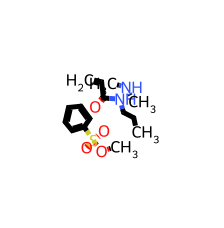 C=CC(=O)NCCC.CNC.COS(=O)(=O)c1ccccc1